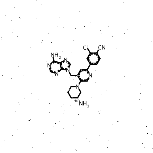 N#Cc1ccc(-c2cc(Cn3cnc4c(N)ncnc43)c(N3CCC[C@@H](N)C3)cn2)cc1Cl